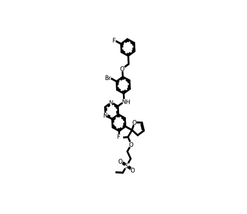 CCS(=O)(=O)CCOC(C)C1(c2cc3c(Nc4ccc(OCc5cccc(F)c5)c(Br)c4)ncnc3cc2F)CC=CO1